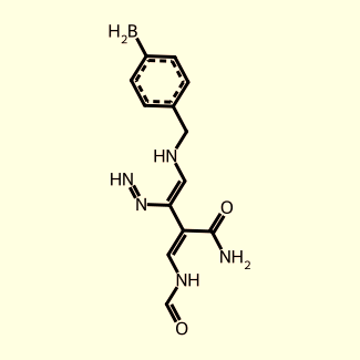 Bc1ccc(CN/C=C(N=N)/C(=C/NC=O)C(N)=O)cc1